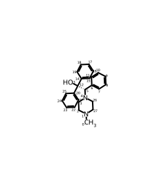 CN1CCN([C@@H](c2ccccc2)C(O)(c2ccccc2)c2ccccc2)CC1